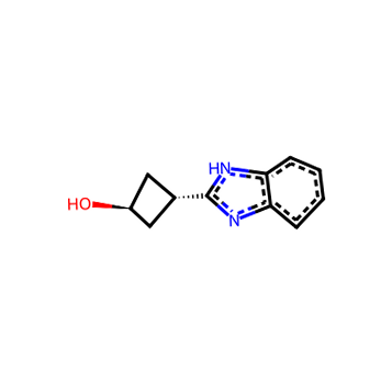 O[C@H]1C[C@H](c2nc3ccccc3[nH]2)C1